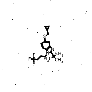 CC(C)(C)c1nc2cc(SCC3CC3)ccc2n1CCCC(F)(F)F